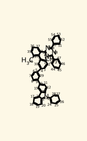 Cc1ccc(-c2cccc(-c3ccc4c(c3)c3ccccc3n4-c3ccccc3)c2)cc1-c1c(C)cccc1-c1nc(-c2ccccc2)nc(-c2ccccc2)n1